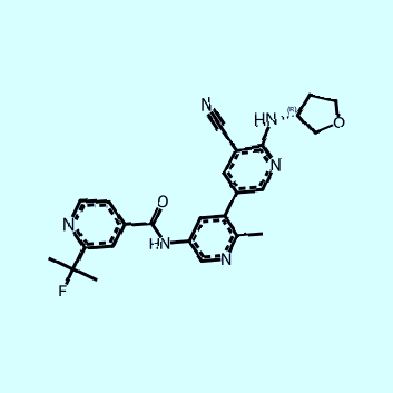 Cc1ncc(NC(=O)c2ccnc(C(C)(C)F)c2)cc1-c1cnc(N[C@@H]2CCOC2)c(C#N)c1